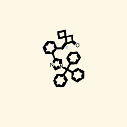 O=C1CC2(CCC2)/C1=C\c1ccccc1-c1cn(C(c2ccccc2)(c2ccccc2)c2ccccc2)cn1